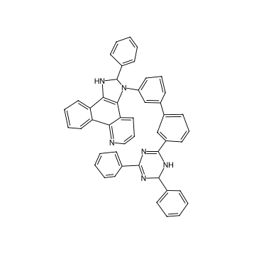 c1ccc(C2=NC(c3ccccc3)NC(c3cccc(-c4cccc(N5c6c(c7ccccc7c7ncccc67)NC5c5ccccc5)c4)c3)=N2)cc1